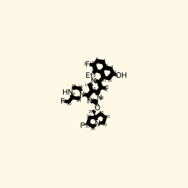 CCc1c(F)ccc2cc(O)cc(-c3ncc4c(N5CCNC(CF)C5)nc(OC[C@@]56CCCN5C[C@H](F)C6)nc4c3F)c12